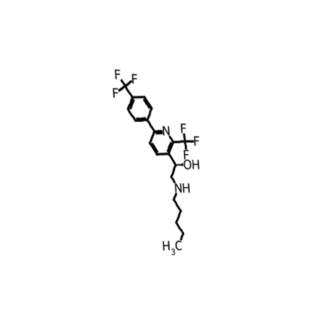 CCCCCNC[C@H](O)c1ccc(-c2ccc(C(F)(F)F)cc2)nc1C(F)(F)F